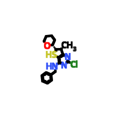 CC1C([C@H]2CCCCO2)=[SH]c2c(NCc3ccccc3)nc(Cl)nc21